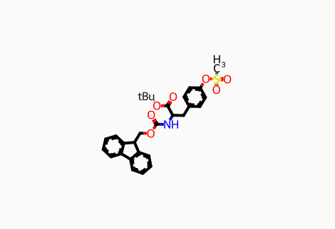 CC(C)(C)OC(=O)C(Cc1ccc(OS(C)(=O)=O)cc1)NC(=O)OCC1c2ccccc2-c2ccccc21